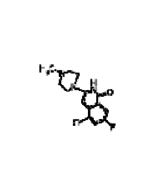 CN1CCN(c2cc3c(Cl)cc(F)cc3c(=O)[nH]2)CC1